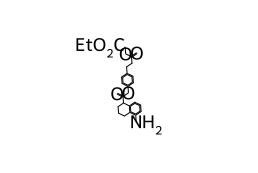 CCOC(=O)COC(=O)CCc1ccc(OC(=O)C2CCCc3c(N)cccc32)cc1